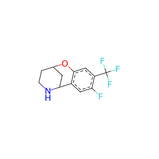 Fc1cc2c(cc1C(F)(F)F)OC1CCNC2C1